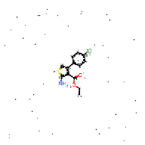 CCOC(=O)c1c(-c2ccc(Cl)cc2)csc1N